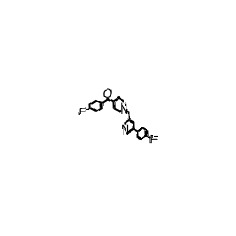 O=C(c1ccc(F)cc1)C1CCN(Cc2cncc(-c3ccc(F)cc3)c2)CC1